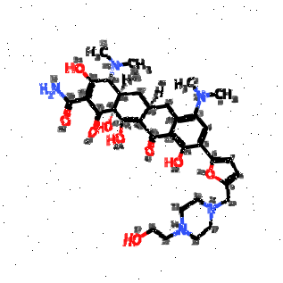 CN(C)c1cc(-c2ccc(CN3CCN(CCO)CC3)o2)c(O)c2c1C[C@@H]1C[C@@H]3[C@@H](N(C)C)C(O)=C(C(N)=O)C(=O)[C@]3(O)C(O)=C1C2=O